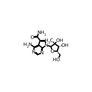 C[C@]1(O)C(n2cc(C(N)=O)c3c(N)ncnc32)O[C@H](CO)[C@H]1O